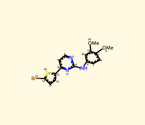 COc1ccc(Nc2nccc(-c3ccc(Br)s3)n2)cc1OC